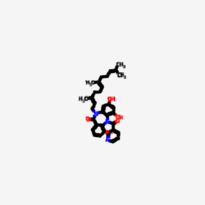 CC(C)=CCC/C(C)=C/CC/C(C)=C/CN1C(=O)c2cccc(O)c2N(C(=O)c2cccnc2)c2c(O)cc(O)cc21